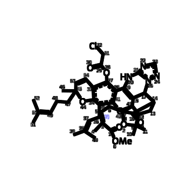 COC(=O)/C(C)=C\CC12OC(C)(C)C3CC(C1=O)C1C4=C(Nc5ncnn51)c1c(OC(=O)CCl)c5c(c(CC=C(C)C)c1OC432)OC(C)(CCC=C(C)C)C=C5